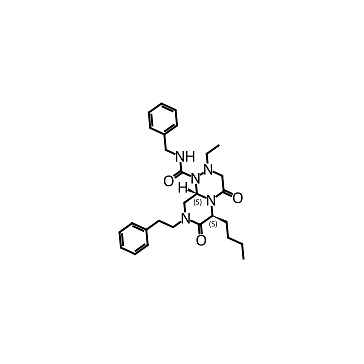 CCCC[C@H]1C(=O)N(CCc2ccccc2)C[C@H]2N1C(=O)CN(CC)N2C(=O)NCc1ccccc1